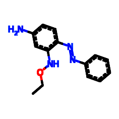 CCONc1cc(N)ccc1N=Nc1ccccc1